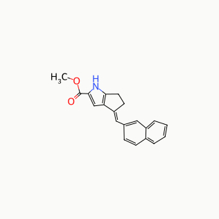 COC(=O)c1cc2c([nH]1)CCC2=Cc1ccc2ccccc2c1